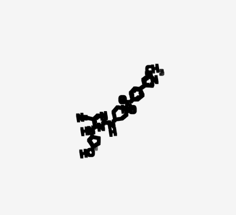 Cn1cc(-c2ccc(S(=O)(=O)N3CCC(Nc4ncc(C#N)c(NC5CC[C@@H](O)C5)n4)CC3)cc2)cn1